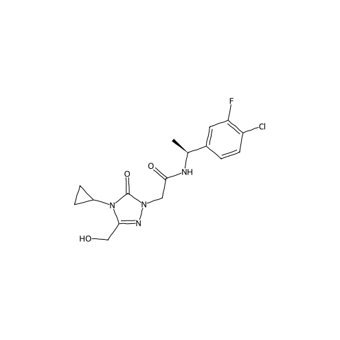 C[C@H](NC(=O)Cn1nc(CO)n(C2CC2)c1=O)c1ccc(Cl)c(F)c1